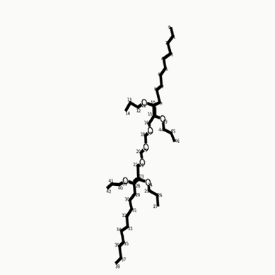 CCCCCCCCCCC(OCCC)=C(COCOCOCC(OCCC)=C(CCCCCCCCCC)OCCC)OCCC